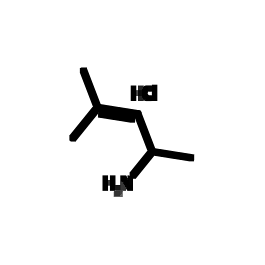 CC(C)=CC(C)N.Cl